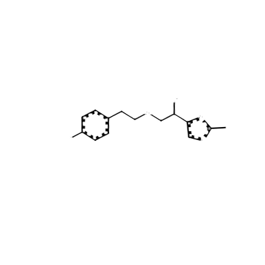 Cc1nc(C(O)CNCCc2ccc(O)cc2)cs1.Cl